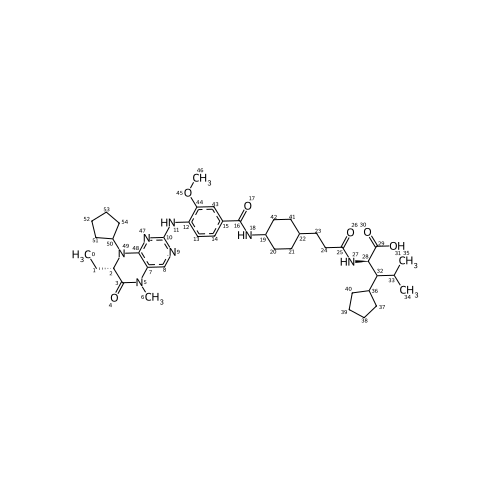 CC[C@H]1C(=O)N(C)c2cnc(Nc3ccc(C(=O)NC4CCC(CCC(=O)N[C@@H](C(=O)O)C(C(C)C)C5CCCC5)CC4)cc3OC)nc2N1C1CCCC1